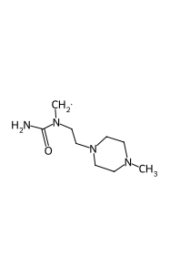 [CH2]N(CCN1CCN(C)CC1)C(N)=O